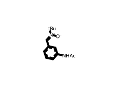 CC(=O)Nc1cccc(C=[N+]([O-])C(C)(C)C)c1